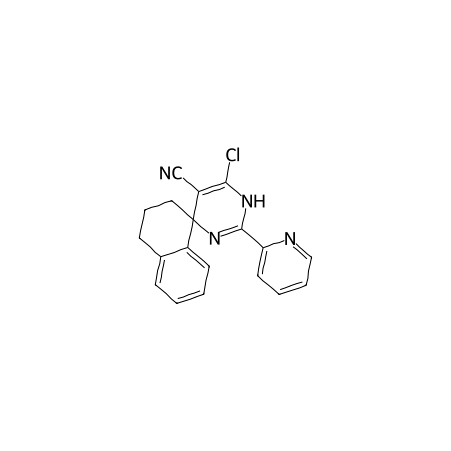 N#CC1=C(Cl)NC(c2ccccn2)=NC12CCCc1ccccc12